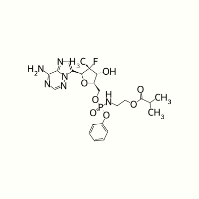 CC(C)C(=O)OCCNP(=O)(OC[C@H]1O[C@@H](c2cnc3c(N)ncnn23)[C@](C)(F)[C@@H]1O)Oc1ccccc1